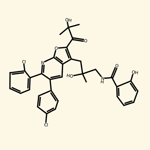 CC(O)(CNC(=O)c1ccccc1O)Cc1c(C(=O)C(C)(C)O)oc2nc(-c3ccccc3Cl)c(-c3ccc(Cl)cc3)cc12